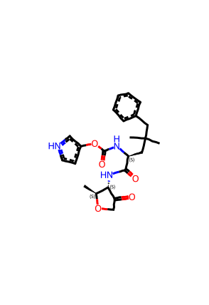 C[C@@H]1OCC(=O)[C@H]1NC(=O)[C@H](CC(C)(C)Cc1ccccc1)NC(=O)Oc1cc[nH]c1